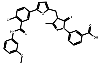 COc1cccc(NC(=O)c2cc(-c3ccc(CC4C(=O)N(c5cccc(C(=O)O)c5)N=C4C)o3)ccc2Cl)c1